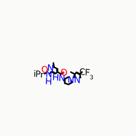 Cc1cc(C(=O)NC2CCCN(c3ncc(C(F)(F)F)cc3C)C2)cc(NC(=O)C(C)C)n1